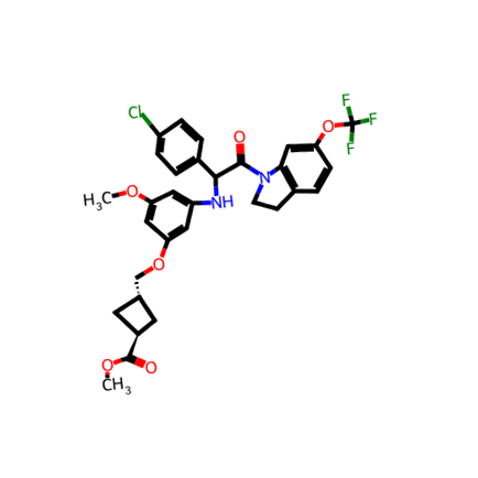 COc1cc(NC(C(=O)N2CCc3ccc(OC(F)(F)F)cc32)c2ccc(Cl)cc2)cc(OC[C@H]2C[C@H](C(=O)OC)C2)c1